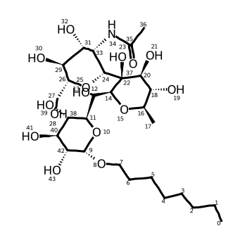 CCCCCCCCO[C@H]1O[C@H](C(O)[C@@H]2O[C@H](C)[C@@H](O)[C@H](O)[C@@]2(O)[C@@H]2O[C@H](CO)[C@@H](O)[C@H](O)[C@@H]2NC(C)=O)[C@@H](O)[C@H](O)[C@H]1O